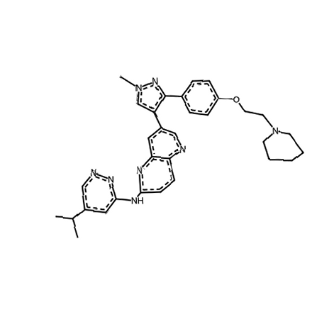 CC(C)c1cnnc(Nc2ccc3ncc(-c4cn(C)nc4-c4ccc(OCCN5CCCCC5)cc4)cc3n2)c1